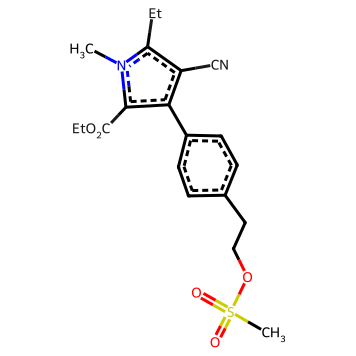 CCOC(=O)c1c(-c2ccc(CCOS(C)(=O)=O)cc2)c(C#N)c(CC)n1C